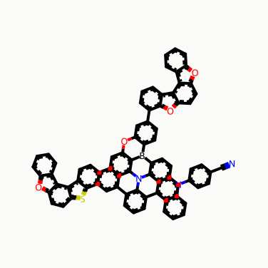 N#Cc1ccc(N(c2ccccc2)c2ccc3c(c2)N(c2c(-c4ccccc4)cccc2-c2ccccc2)c2cc(-c4ccc5c(c4)sc4ccc6oc7ccccc7c6c45)cc4c2B3c2ccc(-c3cccc5c3oc3ccc6oc7ccccc7c6c35)cc2O4)cc1